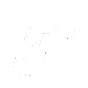 Cc1cccc(-c2cccc(-c3ccncc3)c2C(N)=O)c1C